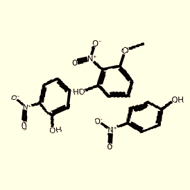 COc1cccc(O)c1[N+](=O)[O-].O=[N+]([O-])c1ccc(O)cc1.O=[N+]([O-])c1ccccc1O